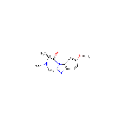 COc1ccc2ncn(C(=O)[C@H](C)N(C)C)c2c1